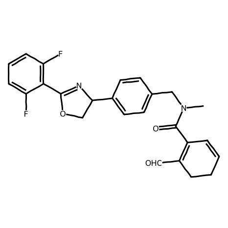 CN(Cc1ccc(C2COC(c3c(F)cccc3F)=N2)cc1)C(=O)C1=C(C=O)CCC=C1